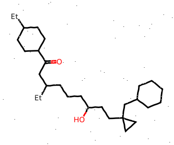 CCC1CCC(C(=O)CC(CC)CCCC(O)CCC2(CC3CCCCC3)CC2)CC1